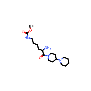 CC(C)(C)OC(=O)NCCCCC(N)C(=O)N1CCC(N2CCCCC2)CC1